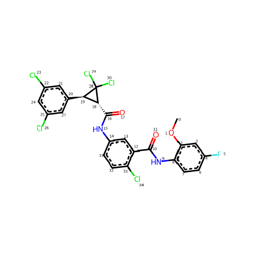 COc1cc(F)ccc1NC(=O)c1cc(NC(=O)[C@@H]2[C@@H](c3cc(Cl)cc(Cl)c3)C2(Cl)Cl)ccc1Cl